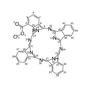 O=C(OCl)c1cccc2c3nc4nc(nc5[nH]c(nc6nc(nc([nH]3)c12)-c1ccccc1-6)c1ccccc51)-c1ccccc1-4